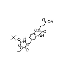 CCOC(=O)[C@H](Cc1ccc2c(c1)NC(=O)[C@H](CCC(=O)O)O2)NC(=O)OCC(C)(C)C